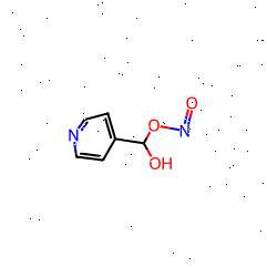 O=NOC(O)c1ccncc1